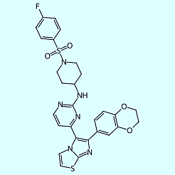 O=S(=O)(c1ccc(F)cc1)N1CCC(Nc2nccc(-c3c(-c4ccc5c(c4)OCCO5)nc4sccn34)n2)CC1